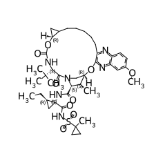 CC[C@@H]1C[C@]1(NC(=O)[C@@H]1[C@H](C)[C@@H]2CN1C(=O)[C@H](C(C)(C)C)NC(=O)O[C@@H]1CC1CCCCCc1nc3ccc(OC)cc3nc1O2)C(=O)NS(=O)(=O)C1(C)CC1